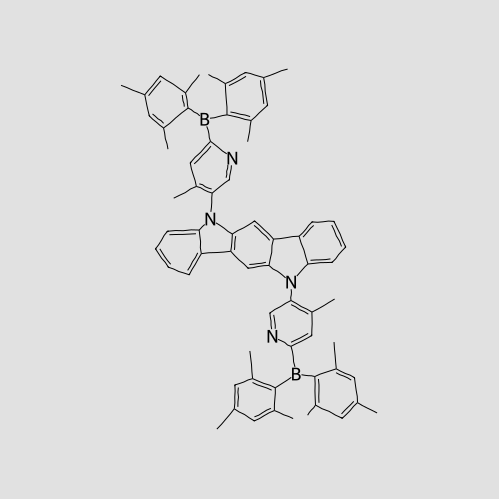 Cc1cc(C)c(B(c2cc(C)c(-n3c4ccccc4c4cc5c(cc43)c3ccccc3n5-c3cnc(B(c4c(C)cc(C)cc4C)c4c(C)cc(C)cc4C)cc3C)cn2)c2c(C)cc(C)cc2C)c(C)c1